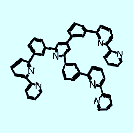 c1ccc(-c2cccc(-c3cccc(-c4cc(-c5cccc(-c6cccc(-c7ccccn7)n6)c5)nc(-c5cccc(-c6cccc(-c7ccccn7)n6)c5)c4)c3)n2)nc1